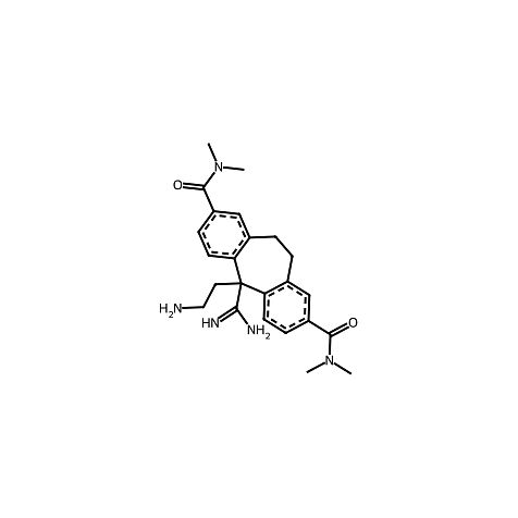 CN(C)C(=O)c1ccc2c(c1)CCc1cc(C(=O)N(C)C)ccc1C2(CCN)C(=N)N